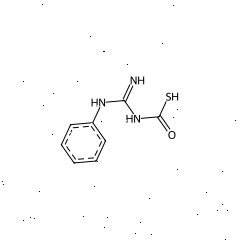 N=C(NC(=O)S)Nc1ccccc1